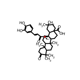 CC1(C)CCC2(C(=O)O)CC[C@]3(COC(=O)/C=C/c4ccc(O)c(O)c4)C(=CCC4C5(C)CCC(=O)C(C)(C)C5CCC43C)C2C1